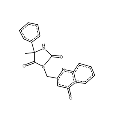 CC1(c2ccccc2)NC(=O)N(Cc2cc(=O)n3ccccc3n2)C1=O